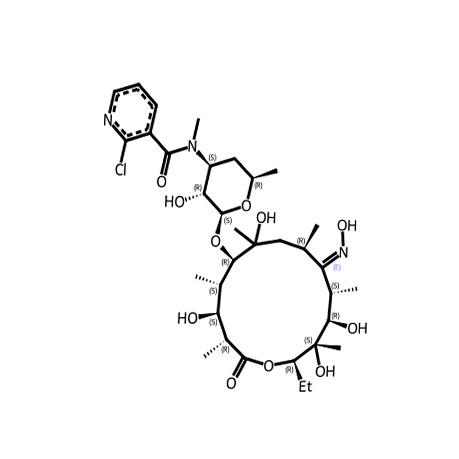 CC[C@H]1OC(=O)[C@H](C)[C@@H](O)[C@H](C)[C@@H](O[C@@H]2O[C@H](C)C[C@H](N(C)C(=O)c3cccnc3Cl)[C@H]2O)C(C)(O)C[C@@H](C)/C(=N\O)[C@H](C)[C@@H](O)[C@]1(C)O